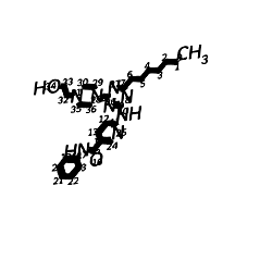 CCCCCCCc1nc(Nc2ccc(C(=O)Nc3ccccc3)cn2)nc(N2CCN(CCO)CC2)n1